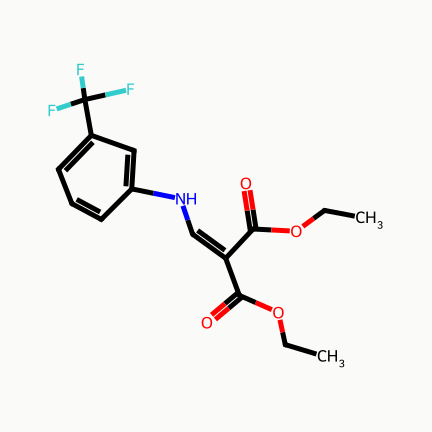 CCOC(=O)C(=CNc1cccc(C(F)(F)F)c1)C(=O)OCC